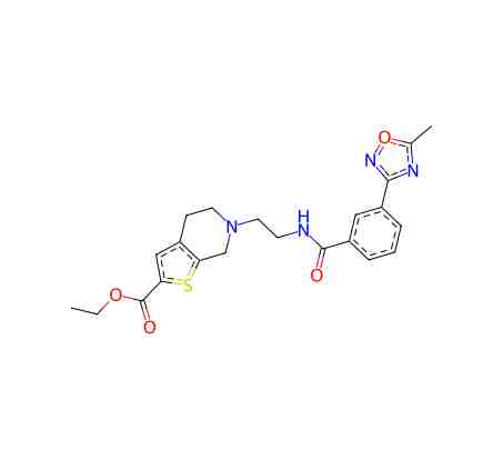 CCOC(=O)c1cc2c(s1)CN(CCNC(=O)c1cccc(-c3noc(C)n3)c1)CC2